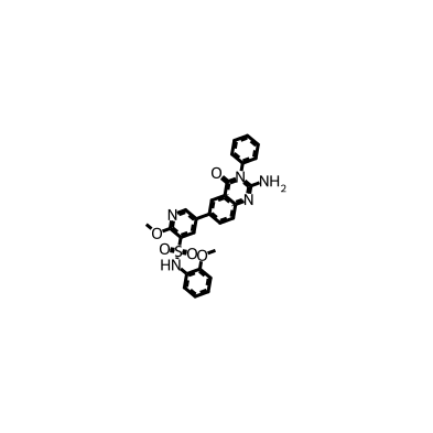 COc1ccccc1NS(=O)(=O)c1cc(-c2ccc3nc(N)n(-c4ccccc4)c(=O)c3c2)cnc1OC